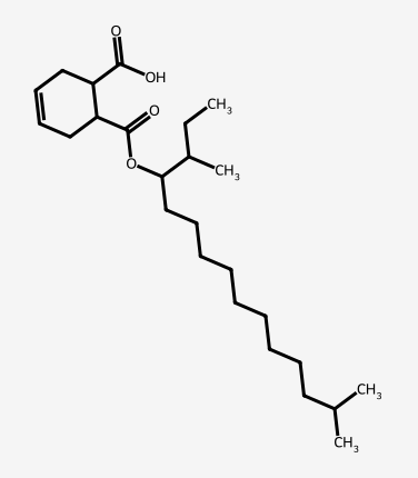 CCC(C)C(CCCCCCCCCC(C)C)OC(=O)C1CC=CCC1C(=O)O